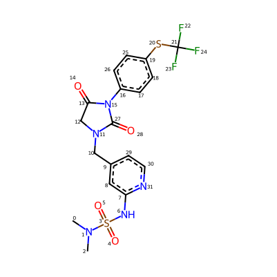 CN(C)S(=O)(=O)Nc1cc(CN2CC(=O)N(c3ccc(SC(F)(F)F)cc3)C2=O)ccn1